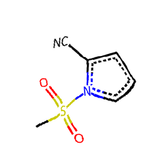 CS(=O)(=O)n1cccc1C#N